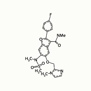 CNC(=O)c1c(-c2ccc(F)cc2)oc2cc(N(C)S(C)(=O)=O)c(OCc3nccn3C)cc12